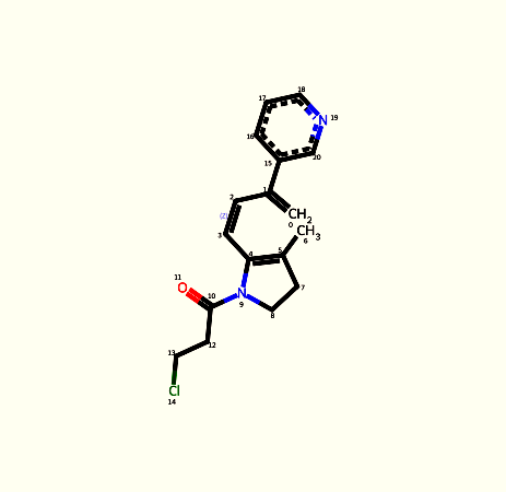 C=C(/C=C\C1=C(C)CCN1C(=O)CCCl)c1cccnc1